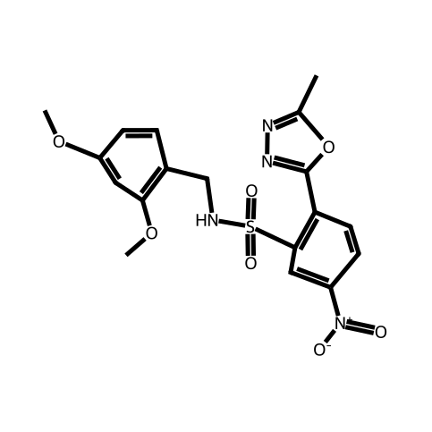 COc1ccc(CNS(=O)(=O)c2cc([N+](=O)[O-])ccc2-c2nnc(C)o2)c(OC)c1